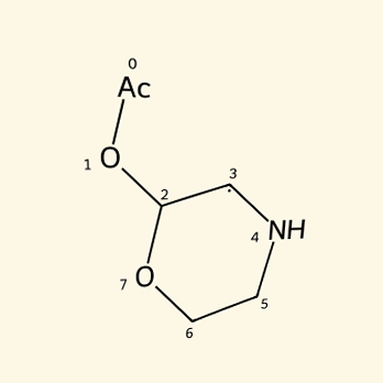 CC(=O)OC1[CH]NCCO1